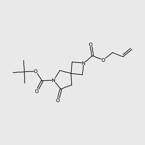 C=CCOC(=O)N1CC2(CC(=O)N(C(=O)OC(C)(C)C)C2)C1